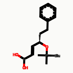 CC(C)(C)[Si](C)(C)O[C@H](/C=C/B(O)O)CCc1ccccc1